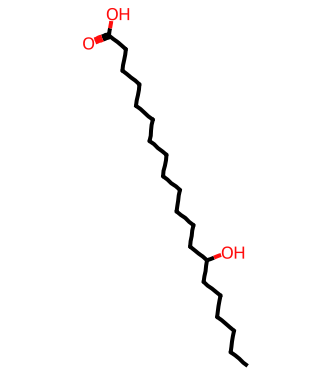 CCCCCCC(O)CCCCCCCCCCCCC(=O)O